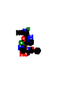 CC1CCC(CC(C)(O)c2cc(-c3ccccc3)on2)C1NSc1c(Cl)c(C(=O)Nc2cc(F)nc(C#N)c2)n2c1CCCC2